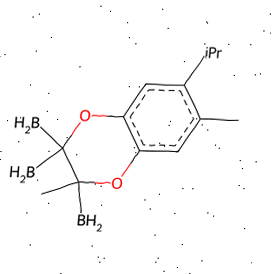 BC1(B)Oc2cc(C(C)C)c(C)cc2OC1(B)C